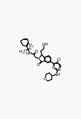 CC(C)(NC(=O)CN1C(=O)c2cc(-c3nc(NC4CCOCC4)ncc3Cl)ccc2C1CCO)C1=CC=CCC1